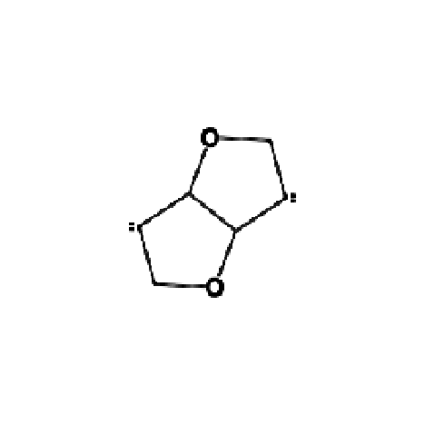 [C]1COC2[C]COC12